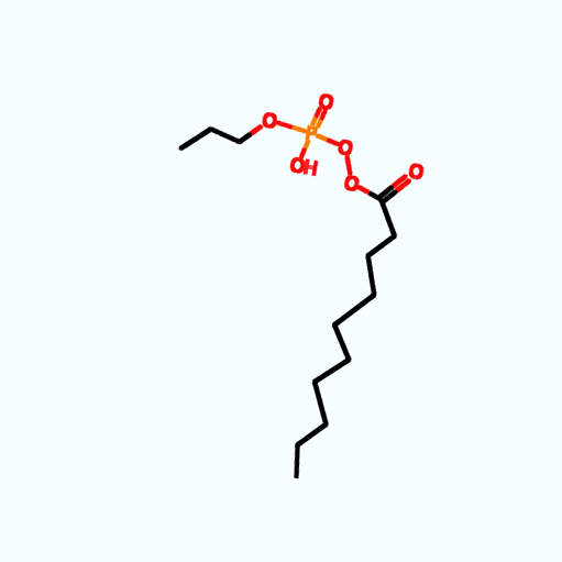 CCCCCCCCCC(=O)OOP(=O)(O)OCCC